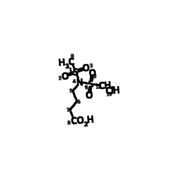 CS(=O)(=O)N(CCCC(=O)O)S(C)(=O)=O.Cl